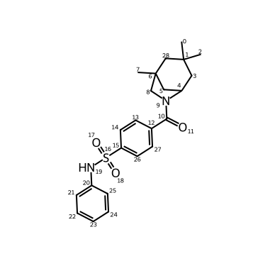 CC1(C)CC2CC(C)(CN2C(=O)c2ccc(S(=O)(=O)Nc3ccccc3)cc2)C1